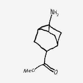 COC(=O)C1CC2CCC1CC2N